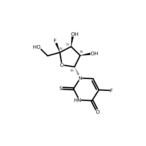 O=c1[nH]c(=S)n([C@@H]2O[C@](F)(CO)[C@@H](O)[C@H]2O)cc1F